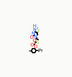 CC(C)C1CC[C@@H](C)CC1OC(=O)[C@H]1O[C@@H](n2cc(F)c(N)nc2=O)CS1